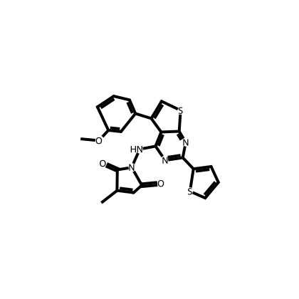 COc1cccc(-c2csc3nc(-c4cccs4)nc(NN4C(=O)C=C(C)C4=O)c23)c1